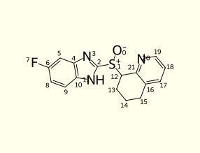 [O-][S+](c1nc2cc(F)ccc2[nH]1)C1CCCc2cccnc21